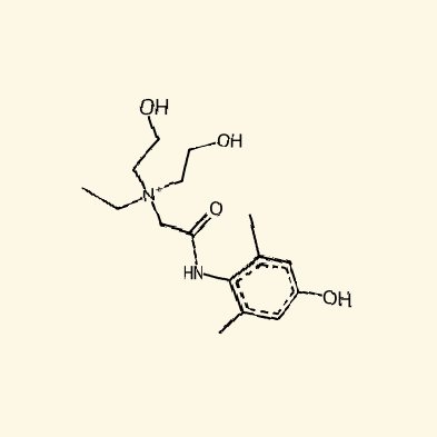 CC[N+](CCO)(CCO)CC(=O)Nc1c(C)cc(O)cc1C